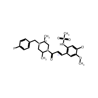 COc1cc(/C=C/C(=O)N2C[C@H](C)N(Cc3ccc(F)cc3)CC2C)c(NS(C)(=O)=O)cc1Cl